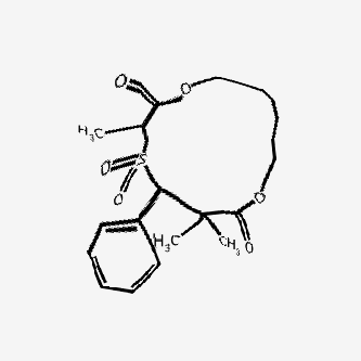 CC1C(=O)OCCCCOC(=O)C(C)(C)C(c2ccccc2)S1(=O)=O